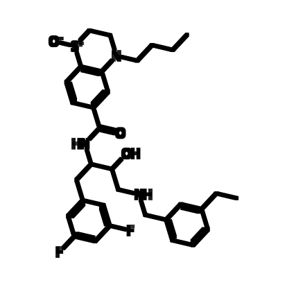 CCCCN1CC[S+]([O-])c2ccc(C(=O)NC(Cc3cc(F)cc(F)c3)C(O)CNCc3cccc(CC)c3)cc21